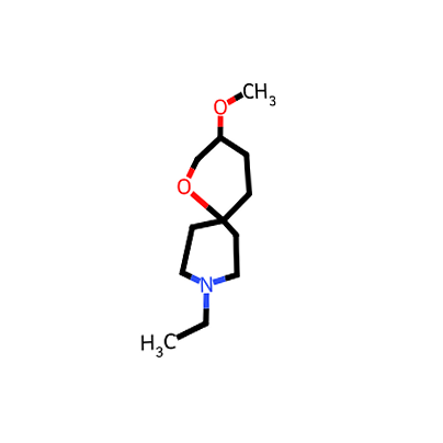 CCN1CCC2(CCC(OC)CO2)CC1